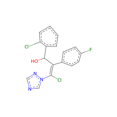 OC(C(=C(Cl)n1cncn1)c1ccc(F)cc1)c1ccccc1Cl